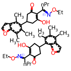 CCC/C(=N\OCC)C1=C(O)CC(c2c(C)c(C)c(C)c3ccoc23)CC1=O.CCC/C(=N\OCC)C1=C(O)CC(c2c(C)c(C)c3occc3c2C)CC1=O